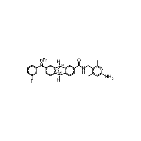 CCCN(c1cccc(F)c1)c1ccc2c(c1)[C@H]1O[C@@H]2c2ccc(C(=O)NCc3c(C)cc(N)nc3C)cc21